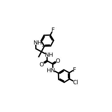 CC(CN)(NC(=O)C(=O)Nc1ccc(Cl)c(F)c1)c1ccc(F)cc1